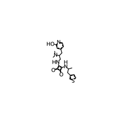 CC(Cc1ccsc1)Nc1c(NCC(Cc2ccnc(O)c2)N(C)C)c(=O)c1=O